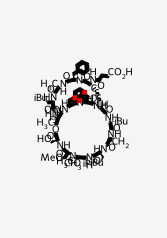 C=C1NC(=O)[C@H]([C@@H](C)CC)NC(=O)[C@@H]2CSSC[C@H](NC(=O)CCC(=O)O)C(=O)N[C@H](Cc3ccccc3)C(=O)N[C@H](C)C(=O)NC(C[C@@H](C)CC)C(=O)N[C@@H](C(=O)N[C@H](Cc3ccccc3)C(=O)N3CCC[C@H]3C(=O)N2)[C@@H](C)OC(=O)[C@H](CO)NC(=O)[C@H]([C@@H](C)OC)N(C)C(=O)C(C(C)C)NC(=O)[C@H](C[C@H](C)CC)NC1=O